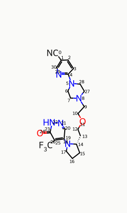 N#Cc1ccc(N2CCN(CCOCC[C@@H]3CCCN3c3cn[nH]c(=O)c3C(F)(F)F)CC2)nc1